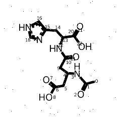 CC(=O)NC(CC(=O)O)CC(=O)NC(Cc1c[nH]cn1)C(=O)O